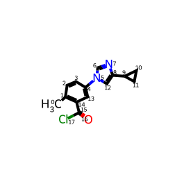 Cc1ccc(-n2cnc(C3CC3)c2)cc1C(=O)Cl